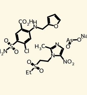 CCS(=O)(=O)CCn1c([N+](=O)[O-])cnc1C.NS(=O)(=O)c1cc(C(=O)O)c(NCc2ccco2)cc1Cl.O=[As][O-].[Na+]